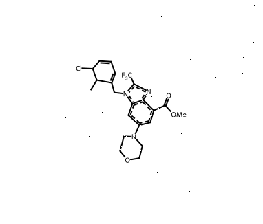 COC(=O)c1cc(N2CCOCC2)cc2c1nc(C(F)(F)F)n2CC1=CC=CC(Cl)C1C